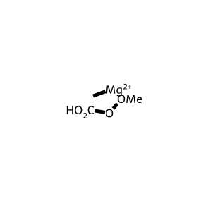 COOC(=O)O.[CH3][Mg+2]